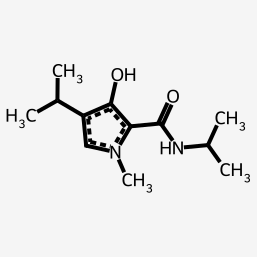 CC(C)NC(=O)c1c(O)c(C(C)C)cn1C